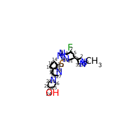 Cn1cc(-c2cc(F)c3nnc(Sc4cccc5cc(N6CCC(O)CC6)cnc45)n3c2)cn1